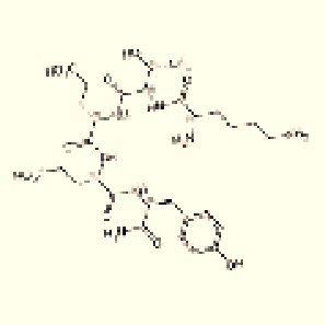 C[C@@H](O)[C@H](NC(=O)[C@@H](N)CCCCN)C(=O)N[C@@H](CCC(=O)O)C(=O)N[C@@H](CCC(=O)O)C(=O)N[C@@H](Cc1ccc(O)cc1)C(N)=O